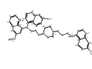 COc1cc(N(CCCN2CCN(CCCNc3ccnc4cc(Cl)ccc34)CC2)c2ccnc3cc(Cl)ccc23)c2ncccc2c1